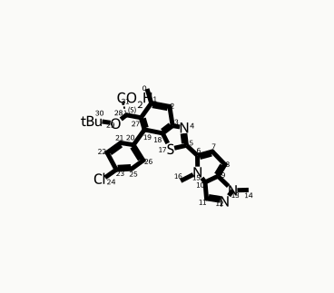 Cc1cc2nc(C3=CC=C4C(C=NN4C)N3C)sc2c(-c2ccc(Cl)cc2)c1[C@H](OC(C)(C)C)C(=O)O